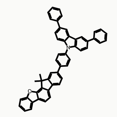 CC1(C)c2cc(-c3ccc(-n4c5ccc(-c6ccccc6)cc5c5cc(-c6ccccc6)ccc54)cc3)ccc2-c2ccc3c(oc4ccccc43)c21